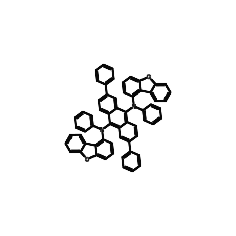 c1ccc(-c2ccc3c(N(c4ccccc4)c4cccc5oc6ccccc6c45)c4cc(-c5ccccc5)ccc4c(N(c4ccccc4)c4cccc5oc6ccccc6c45)c3c2)cc1